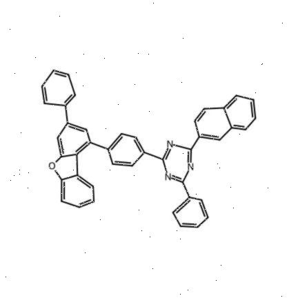 c1ccc(-c2cc(-c3ccc(-c4nc(-c5ccccc5)nc(-c5ccc6ccccc6c5)n4)cc3)c3c(c2)oc2ccccc23)cc1